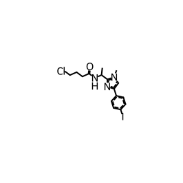 CC(NC(=O)CCCCl)c1nc(-c2ccc(I)cc2)cn1C